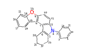 c1ccc(-n2c3c(c4c5c(ccc42)oc2ccccc25)CCCC3)cc1